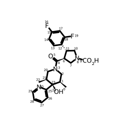 C[C@@H]1CN(C(=O)[C@@H]2CN(C(=O)O)C[C@H]2c2ccc(F)cc2F)C[C@H](C)[C@@]1(O)c1ccccn1